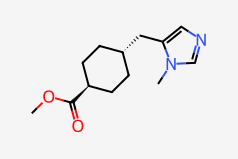 COC(=O)[C@H]1CC[C@H](Cc2cncn2C)CC1